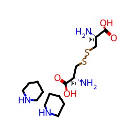 C1CCNCC1.C1CCNCC1.N[C@@H](CSSC[C@H](N)C(=O)O)C(=O)O